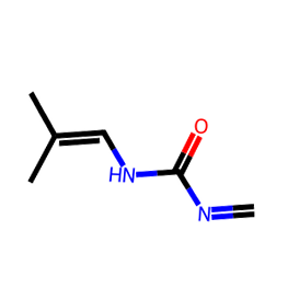 C=NC(=O)NC=C(C)C